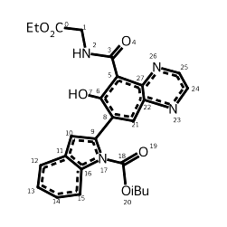 CCOC(=O)CNC(=O)c1c(O)c(-c2cc3ccccc3n2C(=O)OCC(C)C)cc2nccnc12